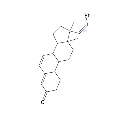 CC/C=C\C1(C)CCC2C3C=CC4=CC(=O)CCC4C3CCC21C